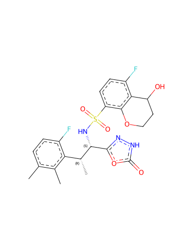 Cc1ccc(F)c([C@@H](C)[C@H](NS(=O)(=O)c2ccc(F)c3c2OCCC3O)c2n[nH]c(=O)o2)c1C